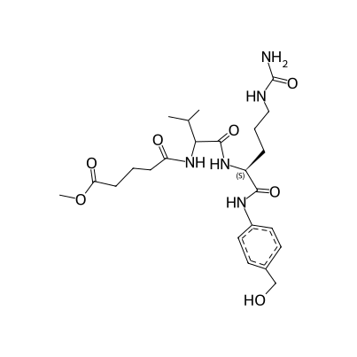 COC(=O)CCCC(=O)NC(C(=O)N[C@@H](CCCNC(N)=O)C(=O)Nc1ccc(CO)cc1)C(C)C